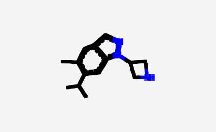 Cc1cc2cnn(C3CNC3)c2cc1C(C)C